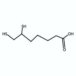 O=C(O)CCCCC(S)CS